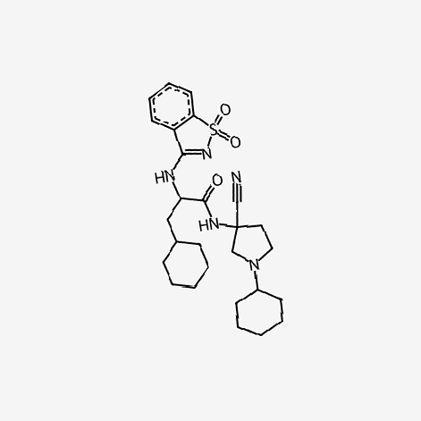 N#CC1(NC(=O)C(CC2CCCCC2)NC2=NS(=O)(=O)c3ccccc32)CCN(C2CCCCC2)C1